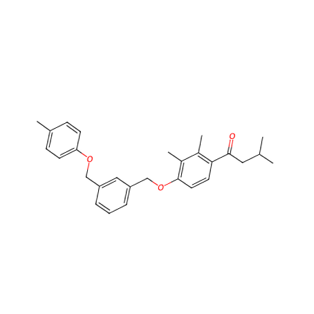 Cc1ccc(OCc2cccc(COc3ccc(C(=O)CC(C)C)c(C)c3C)c2)cc1